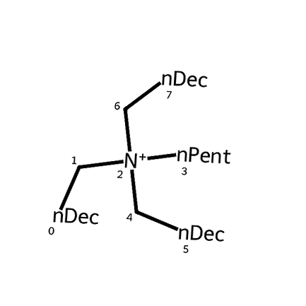 CCCCCCCCCCC[N+](CCCCC)(CCCCCCCCCCC)CCCCCCCCCCC